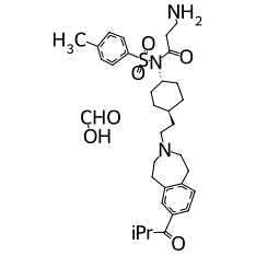 Cc1ccc(S(=O)(=O)N(C(=O)CCN)[C@H]2CC[C@H](CCN3CCc4ccc(C(=O)C(C)C)cc4CC3)CC2)cc1.O=CO